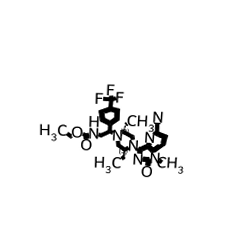 CCOC(=O)NCC(c1ccc(C(F)(F)F)cc1)N1C[C@H](CC)N(c2nc(=O)n(C)c3ccc(C#N)nc23)C[C@H]1CC